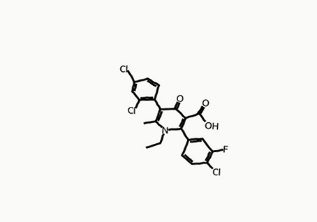 CCn1c(C)c(-c2ccc(Cl)cc2Cl)c(=O)c(C(=O)O)c1-c1ccc(Cl)c(F)c1